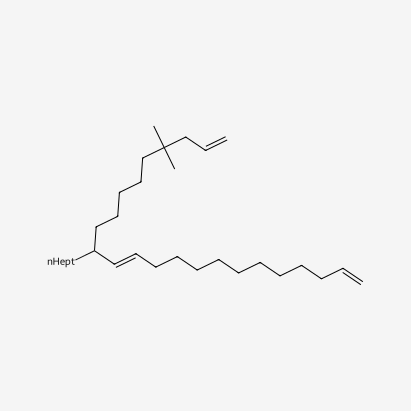 C=CCCCCCCCCCC=CC(CCCCCCC)CCCCCC(C)(C)CC=C